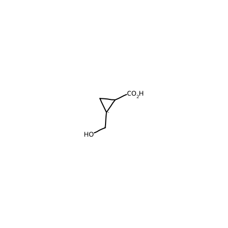 O=C(O)C1C[C]1CO